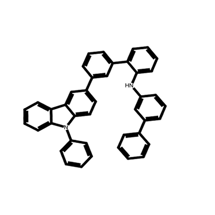 c1ccc(-c2cccc(Nc3ccccc3-c3cccc(-c4ccc5c(c4)c4ccccc4n5-c4ccccc4)c3)c2)cc1